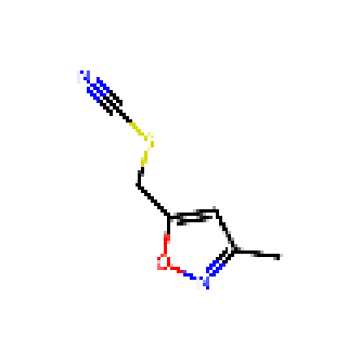 Cc1cc(CSC#N)on1